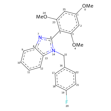 COc1cc(OC)c(-c2nc3ccccc3n2Cc2ccc(F)cc2)c(OC)c1